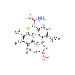 CCc1c(C#N)c(SC(C(N)=O)c2ccc(OC)cc2)nc(N2CCC(O)C2)c1C#N